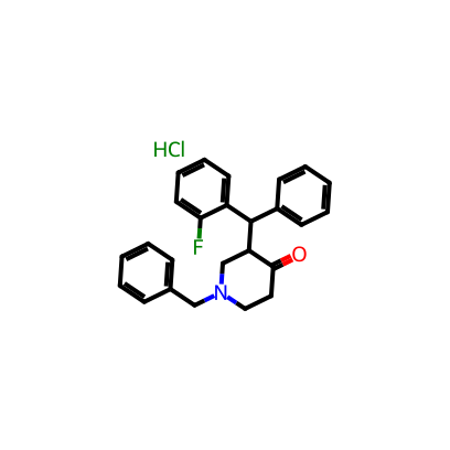 Cl.O=C1CCN(Cc2ccccc2)CC1C(c1ccccc1)c1ccccc1F